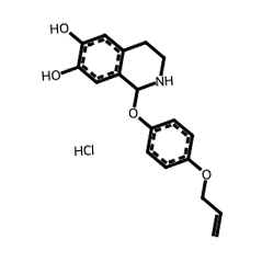 C=CCOc1ccc(OC2NCCc3cc(O)c(O)cc32)cc1.Cl